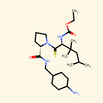 CCOC(=O)N[C@H](C(=S)N1CCC[C@H]1C(=O)NCC1CCC(N)CC1)C(C)(C)CC(C)C